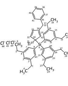 CCc1cc(CC)cc([Si](c2cc(CC)cc(CC)c2)(c2cc(CC)cc(CC)c2)[C]2([Ti+3])C=CC(Cc3ccccc3)=C2)c1.[Cl-].[Cl-].[Cl-]